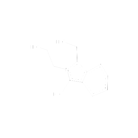 CCCn1c(C)c2ccccc2c1CC